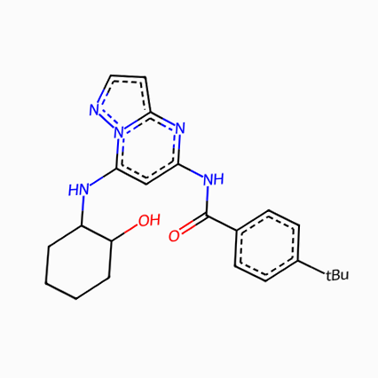 CC(C)(C)c1ccc(C(=O)Nc2cc(NC3CCCCC3O)n3nccc3n2)cc1